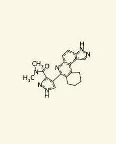 CN(C)C(=O)c1n[nH]cc1-c1nc2ccc3[nH]ncc3c2c2c1CCCC2